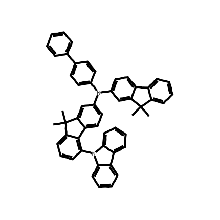 CC1(C)c2ccccc2-c2ccc(N(c3ccc(-c4ccccc4)cc3)c3ccc4c(c3)C(C)(C)c3cccc(-n5c6ccccc6c6ccccc65)c3-4)cc21